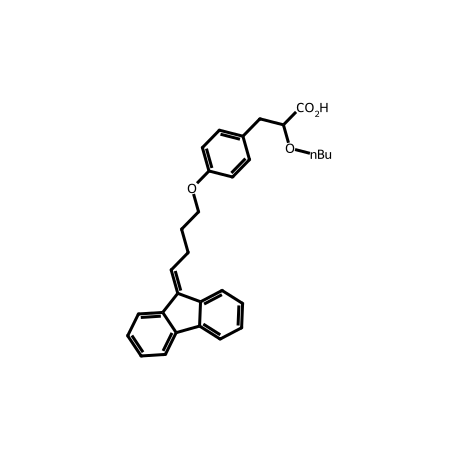 CCCCOC(Cc1ccc(OCCCC=C2c3ccccc3-c3ccccc32)cc1)C(=O)O